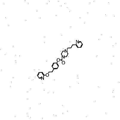 O=C(Oc1ccc(CCOc2ccccn2)cc1)N1CCN(CCCc2ccccn2)CC1